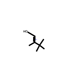 C/C(=C\O)C(C)(C)C